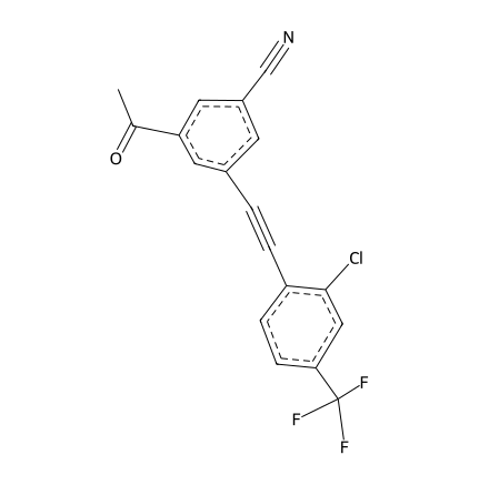 CC(=O)c1cc(C#N)cc(C#Cc2ccc(C(F)(F)F)cc2Cl)c1